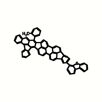 Cc1ccccc1-c1c2cc3ccccc3c3c4ccccc4c(c4c5ccc6c7ccc8c9c(ccc(c%10ccc(c14)c5c%106)c97)-c1ccc(-c4cccc5c4sc4ccccc45)cc1-8)c23